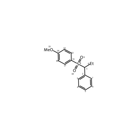 CCC(c1ccccc1)S(=O)(=O)c1ccc(OC)cc1